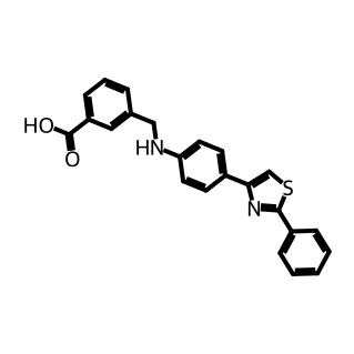 O=C(O)c1cccc(CNc2ccc(-c3csc(-c4ccccc4)n3)cc2)c1